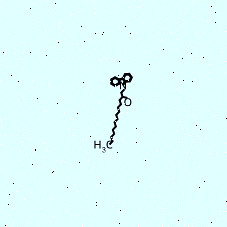 CCCCCCCCCCCCCC(C=O)CCn1c2ccccc2c2ccccc21